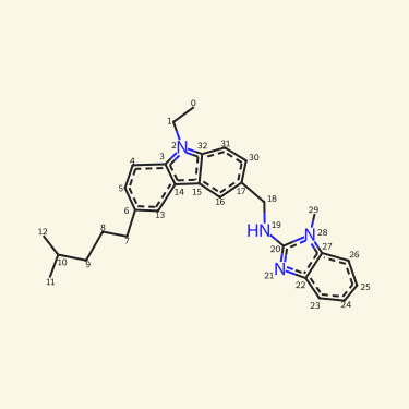 CCn1c2ccc(CCCC(C)C)cc2c2cc(CNc3nc4ccccc4n3C)ccc21